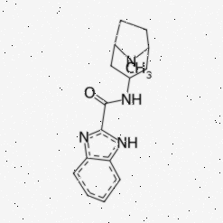 CN1C2CCC1CC(NC(=O)c1nc3ccccc3[nH]1)C2